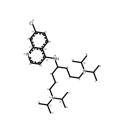 CC(C)N(CCCC(CCCN(C(C)C)C(C)C)Nc1ccnc2cc(Cl)ccc12)C(C)C